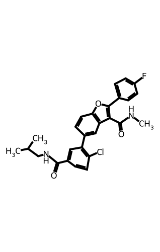 CNC(=O)c1c(-c2ccc(F)cc2)oc2ccc(-c3cc(C(=O)NCC(C)C)ccc3Cl)cc12